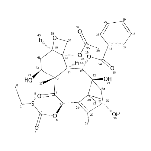 CCSC(=O)O[C@H]1C(=O)[C@@]2(C)[C@H]([C@H](OC(=O)c3ccccc3)[C@]3(O)C[C@H](O)C(C)=C1C3(C)C)[C@]1(OC(C)=O)CO[C@@H]1C[C@@H]2O